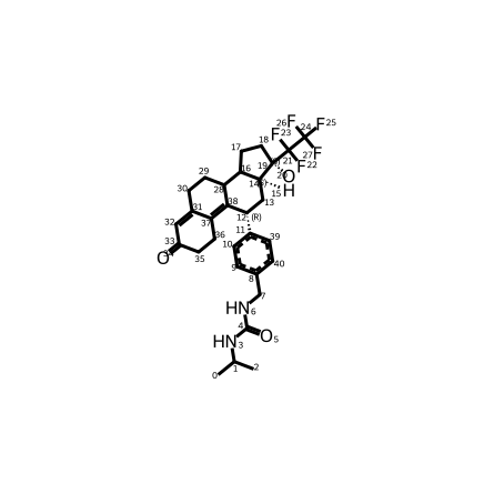 CC(C)NC(=O)NCc1ccc([C@H]2C[C@@]3(C)C(CC[C@@]3(O)C(F)(F)C(F)(F)F)C3CCC4=CC(=O)CCC4=C32)cc1